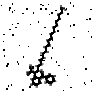 CCCCCCCCCCCCCCCCCCCCC(C(=O)O)c1ccccc1C(=O)c1ccccc1